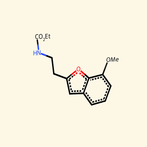 CCOC(=O)NCCc1cc2cccc(OC)c2o1